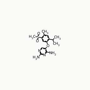 Cc1cc(C(C)C)c(Oc2cnc(N)nc2N)cc1S(C)(=O)=O